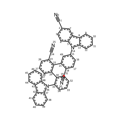 N#Cc1ccc2c(c1)c1ccccc1n2-c1ccc(C#N)c(-c2c(C#N)cccc2-c2ccccc2-n2c3ccccc3c3ccccc32)c1